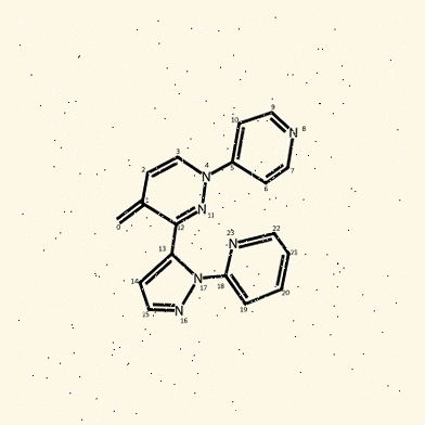 C=C1C=CN(c2ccncc2)N=C1c1ccnn1-c1ccccn1